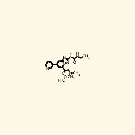 CCNC(=O)Nc1nc2cc(-c3cccnc3)cc(/C(CN(C)C)=N/OC)n2n1